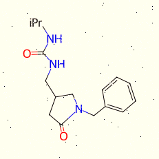 CC(C)NC(=O)NCC1CC(=O)N(Cc2ccccc2)C1